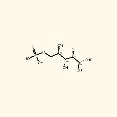 O=C[C@H](O)[C@H](F)[C@H](O)[C@H](O)COP(=O)(O)O